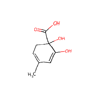 CC1=CCC(O)(C(=O)O)C(O)=C1